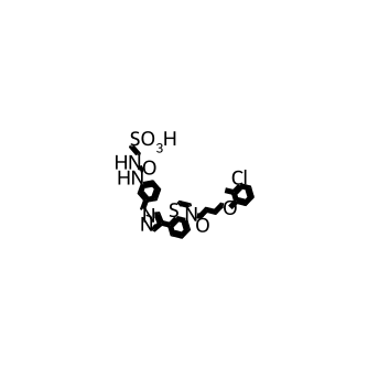 Cc1c(Cl)cccc1OCCCC(=O)N1CCSc2c(-c3cnn(Cc4cccc(NC(=O)NCCS(=O)(=O)O)c4)c3)cccc21